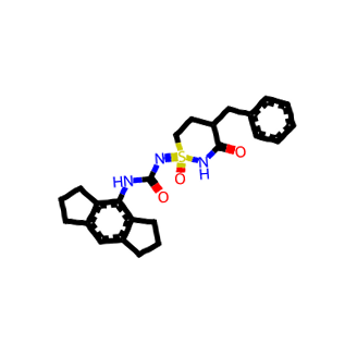 O=C(N=S1(=O)CCC(Cc2ccccc2)C(=O)N1)Nc1c2c(cc3c1CCC3)CCC2